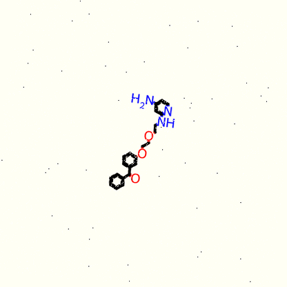 Nc1ccnc(NCCOCCOc2cccc(C(=O)c3ccccc3)c2)c1